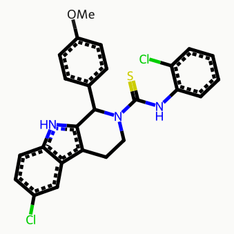 COc1ccc(C2c3[nH]c4ccc(Cl)cc4c3CCN2C(=S)Nc2ccccc2Cl)cc1